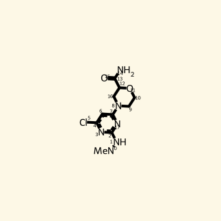 CNNc1nc(Cl)cc(N2CCOC(C(N)=O)C2)n1